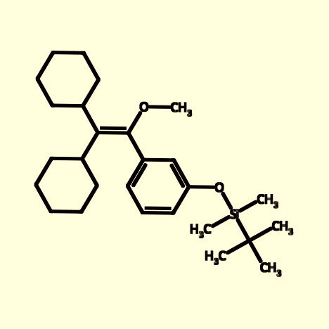 COC(=C(C1CCCCC1)C1CCCCC1)c1cccc(O[Si](C)(C)C(C)(C)C)c1